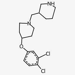 Clc1ccc(OC2CCN(CC3CCCNC3)CC2)cc1Cl